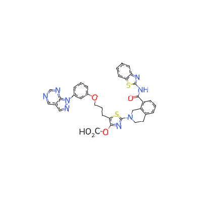 O=C(O)Oc1nc(N2CCc3cccc(C(=O)Nc4nc5ccccc5s4)c3C2)sc1CCCOc1cccc(-n2ncc3cncnc32)c1